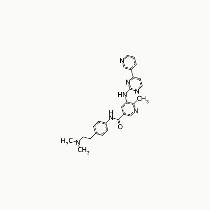 Cc1ncc(C(=O)Nc2ccc(CCN(C)C)cc2)cc1Nc1nccc(-c2cccnc2)n1